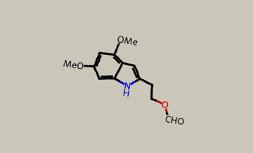 COc1cc(OC)c2cc(CCOC=O)[nH]c2c1